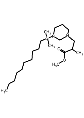 CCCCCCCCCC[Si](C)(C)N1CCCN(CC(C)C(=O)OC)C1